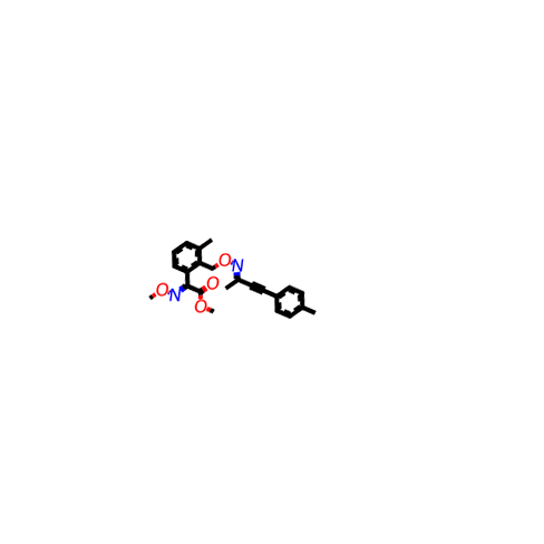 CO/N=C(/C(=O)OC)c1cccc(C)c1CO/N=C(\C)C#Cc1ccc(C)cc1